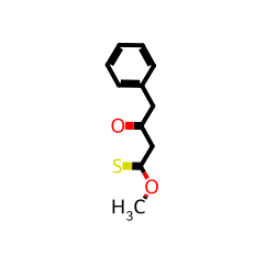 COC(=S)CC(=O)Cc1ccccc1